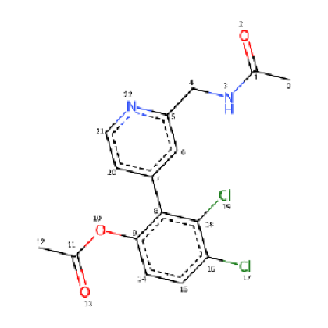 CC(=O)NCc1cc(-c2c(OC(C)=O)ccc(Cl)c2Cl)ccn1